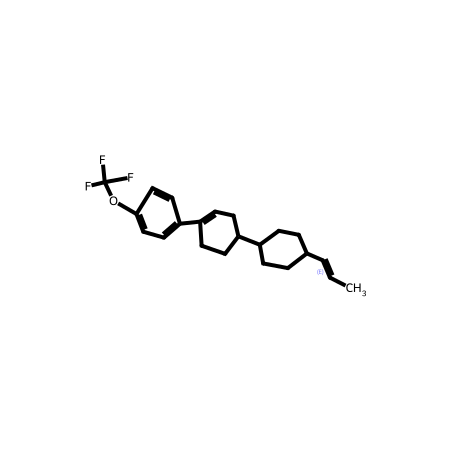 C/C=C/C1CCC(C2CC=C(c3ccc(OC(F)(F)F)cc3)CC2)CC1